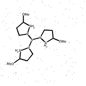 COC1CCN(N(N2CCC(OC)[SiH2]2)N2CCC(OC)[SiH2]2)[SiH2]1